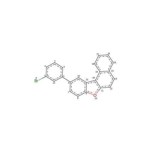 Brc1cccc(-c2ccc3oc4ccc5ccccc5c4c3c2)c1